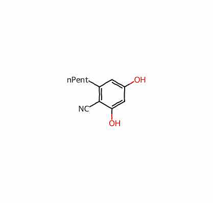 CCCCCc1cc(O)cc(O)c1C#N